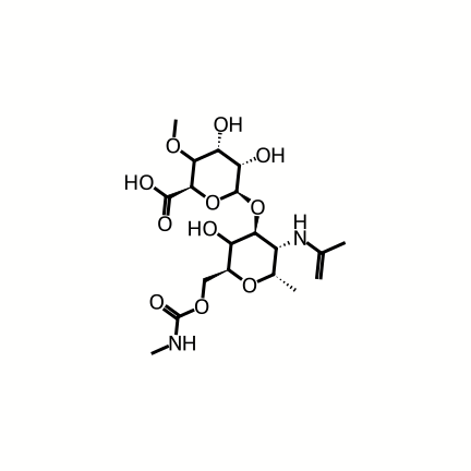 C=C(C)N[C@@H]1[C@H](C)O[C@@H](COC(=O)NC)C(O)[C@H]1O[C@H]1O[C@@H](C(=O)O)C(OC)[C@H](O)[C@@H]1O